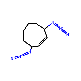 [N-]=[N+]=NC1/C=C\C(N=[N+]=[N-])CCCC1